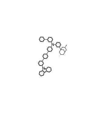 C[C@H]1CC2C[C@H](C)CC(c3cccc(N(c4ccc(-c5ccc(-c6cccc(-n7c8ccccc8c8ccccc87)c6)cc5)cc4)c4cccc(-c5ccccc5)c4)c3)(C2)C1